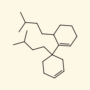 CC(C)CC[C]1CCCC=C1C1(CCC(C)C)CC=CCC1